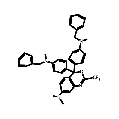 CN(C)c1ccc2c(c1)N=C(C(F)(F)F)OC2(c1ccc(N(C)Cc2ccccc2)cc1)c1ccc(N(C)Cc2ccccc2)cc1